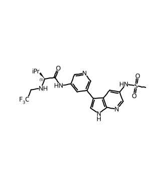 CC(C)[C@H](NCC(F)(F)F)C(=O)Nc1cncc(-c2c[nH]c3ncc(NS(C)(=O)=O)cc23)c1